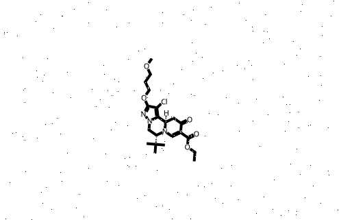 CCOC(=O)C1=CN2[C@H](CC1=O)c1c(Cl)c(OCCCOC)nn1C[C@H]2C(C)(C)C